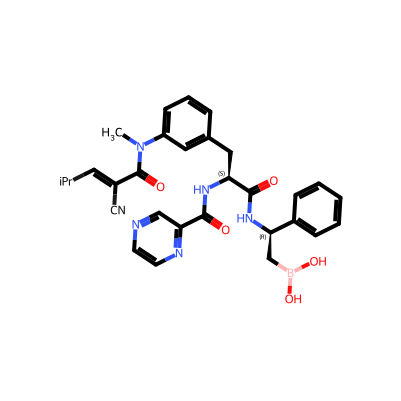 CC(C)C=C(C#N)C(=O)N(C)c1cccc(C[C@H](NC(=O)c2cnccn2)C(=O)N[C@H](CB(O)O)c2ccccc2)c1